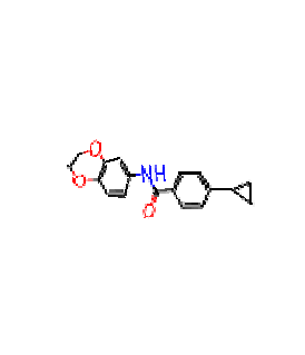 O=C(Nc1ccc2c(c1)OCCO2)c1ccc(C2CC2)cc1